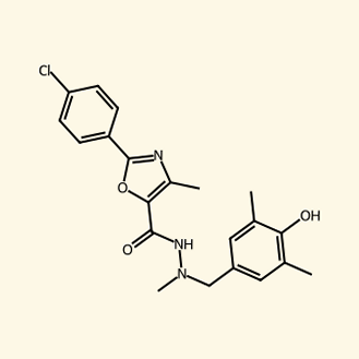 Cc1cc(CN(C)NC(=O)c2oc(-c3ccc(Cl)cc3)nc2C)cc(C)c1O